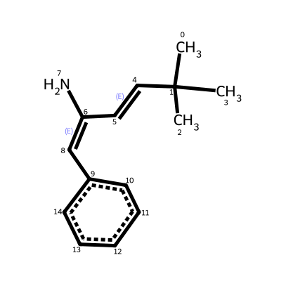 CC(C)(C)/C=C/C(N)=C\c1ccccc1